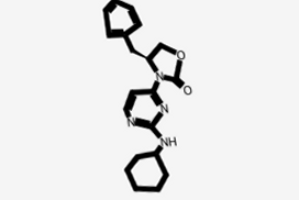 O=C1OC[C@H](Cc2ccccc2)N1c1ccnc(NC2CCCCC2)n1